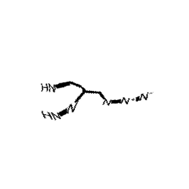 [N-]=[N+]=NCC(C=N)N=N